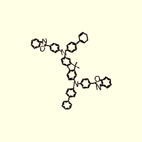 CC1(C)c2cc(N(c3ccc(C4=CCCC=C4)cc3)c3ccc(-c4nc5ccccc5o4)cc3)ccc2-c2ccc(N(c3ccc(-c4ccccc4)cc3)c3ccc(-c4nc5ccccc5o4)cc3)cc21